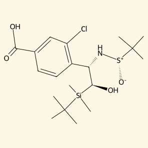 CC(C)(C)[S@+]([O-])N[C@@H](c1ccc(C(=O)O)cc1Cl)[C@@H](O)[Si](C)(C)C(C)(C)C